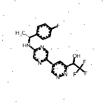 C[C@@H](Nc1cnc(-c2cnnc(C(O)C(F)(F)F)c2)cn1)c1ccc(F)cc1